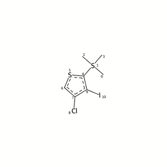 CS(C)(C)c1scc(Cl)c1I